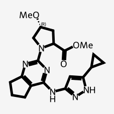 COC(=O)C1C[C@@H](OC)CN1c1nc2c(c(Nc3cc(C4CC4)[nH]n3)n1)CCC2